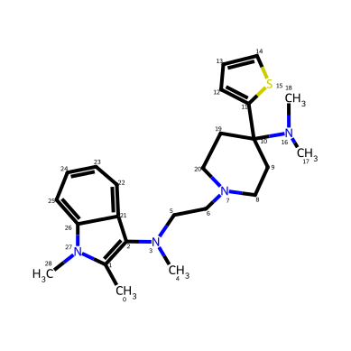 Cc1c(N(C)CCN2CCC(c3cccs3)(N(C)C)CC2)c2ccccc2n1C